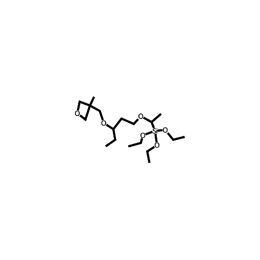 CCO[Si](OCC)(OCC)C(C)OCCC(CC)OCC1(C)COC1